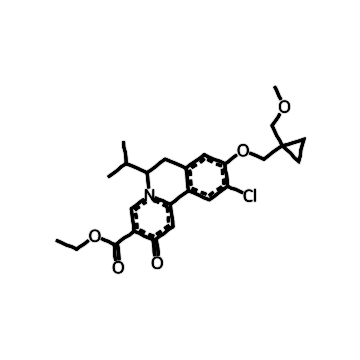 CCOC(=O)c1cn2c(cc1=O)-c1cc(Cl)c(OCC3(COC)CC3)cc1CC2C(C)C